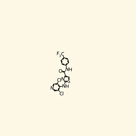 O=C(Nc1ccc(C(F)(F)F)cc1)c1csc(Nc2c(Cl)cncc2Cl)n1